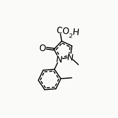 Cc1ccccc1-n1c(=O)c(C(=O)O)cn1C